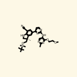 COCCOc1nc(C)ncc1Nc1nccc(-c2cc(C#N)c3c(c2)[C@@](C)(CO[Si](C)(C)C(C)(C)C)CN3)n1